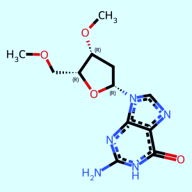 COC[C@H]1O[C@@H](n2cnc3c(=O)[nH]c(N)nc32)C[C@H]1OC